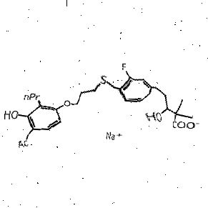 CCCc1c(OCCCSc2ccc(CC(O)C(C)(C)C(=O)[O-])cc2F)ccc(C(C)=O)c1O.[Na+]